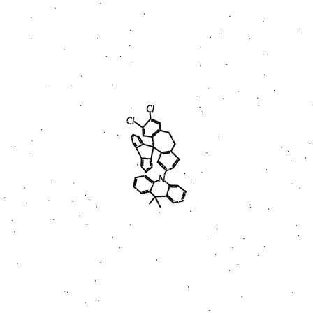 CC1(C)c2ccccc2N(c2ccc3c(c2)C2(c4cc(Cl)c(Cl)cc4CC3)c3ccccc3-c3ccccc32)c2ccccc21